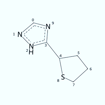 c1n[nH]c(C2CCCS2)n1